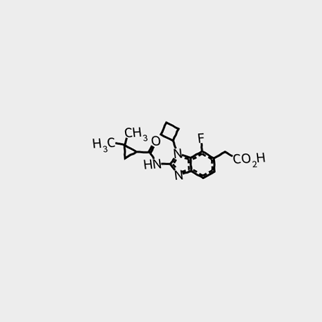 CC1(C)CC1C(=O)Nc1nc2ccc(CC(=O)O)c(F)c2n1C1CCC1